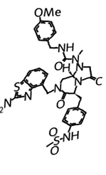 COc1ccc(CNC(=O)N(C)N2CC(=O)N3[C@@H](Cc4ccc(NS(C)(=O)=O)cc4)C(=O)N(Cc4cccc5sc(N)nc45)C[C@@H]32)cc1